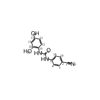 N#Cc1ccc(NC(=O)Nc2ccc(O)cc2O)cc1